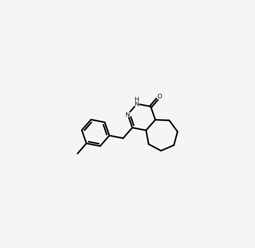 Cc1cccc(CC2=NNC(=O)C3CCCCCC23)c1